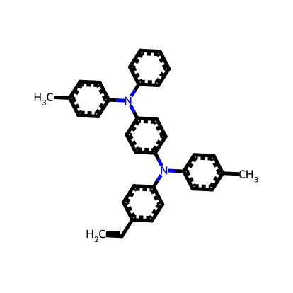 C=Cc1ccc(N(c2ccc(C)cc2)c2ccc(N(c3ccccc3)c3ccc(C)cc3)cc2)cc1